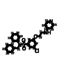 O=S(=O)(c1cc(Cl)cc(OCCNc2ccncc2)c1)N(Cc1ccccc1)c1ccccc1